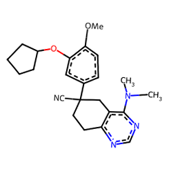 COc1ccc(C2(C#N)CCc3ncnc(N(C)C)c3C2)cc1OC1CCCC1